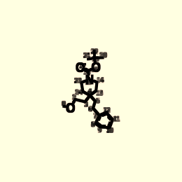 COCCC1(CCc2ccccc2)CCN(C(=O)OC(C)(C)C)CC1